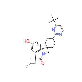 CC1CC(C(=O)N2CC3(CCC(c4nccc(C(C)(C)C)n4)CC3)C2)(c2cccc(O)c2)C1